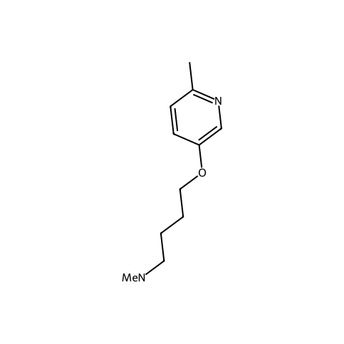 CNCCCCOc1ccc(C)nc1